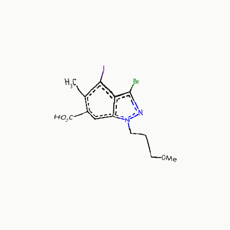 COCCCn1nc(Br)c2c(I)c(C)c(C(=O)O)cc21